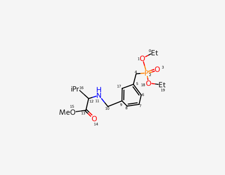 CCOP(=O)(Cc1cccc(CNC(C(=O)OC)C(C)C)c1)OCC